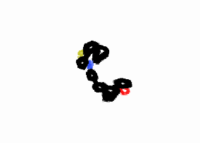 C1=CC(N(c2ccc(-c3ccc4ccc5oc6ccccc6c5c4c3)cc2)c2cccc3sc4ccccc4c23)=CCC1